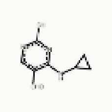 O=Cc1cnc(S)nc1NC1CC1